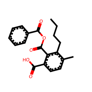 CCCCc1c(C)ccc(C(=O)O)c1C(=O)OC(=O)c1ccccc1